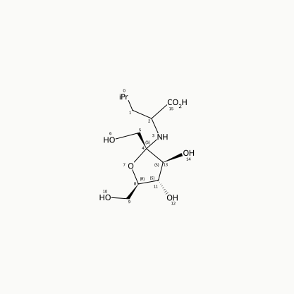 CC(C)CC(N[C@@]1(CO)O[C@H](CO)[C@@H](O)[C@@H]1O)C(=O)O